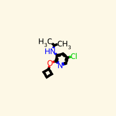 CC(C)Nc1cc(Cl)cnc1OC1CCC1